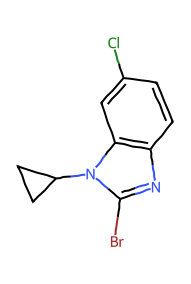 Clc1ccc2nc(Br)n(C3CC3)c2c1